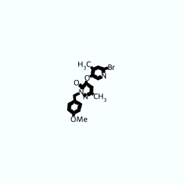 COc1ccc(Cn2nc(C)cc(Oc3cnc(Br)cc3C)c2=O)cc1